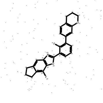 Fc1c(-c2ccc3c(c2)OCCC3)cccc1-c1nc2cc3c(c(F)c2o1)CCC3